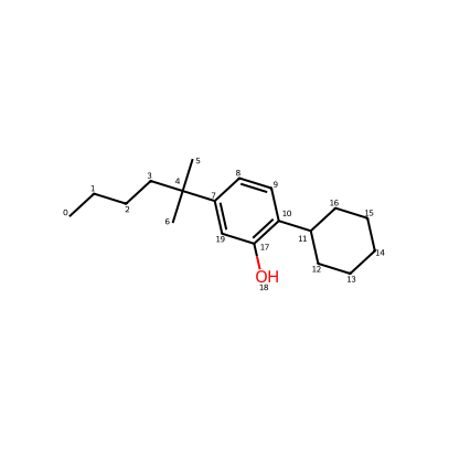 CCCCC(C)(C)c1ccc(C2CCCCC2)c(O)c1